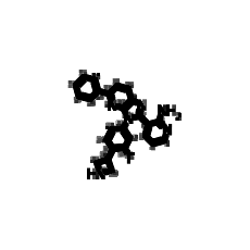 Nc1ncccc1-c1nc2ccc(-c3ccccc3)nc2n1-c1ccc(C2CNC2)c(F)c1